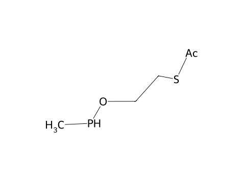 CPOCCSC(C)=O